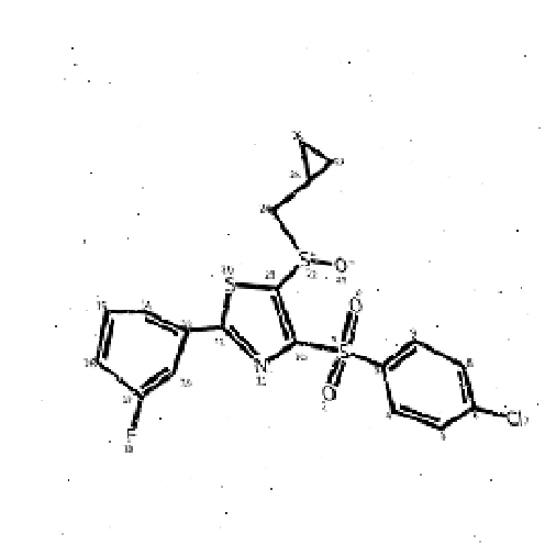 O=S(=O)(c1ccc(Cl)cc1)c1nc(-c2cccc(F)c2)sc1[S+]([O-])CC1CC1